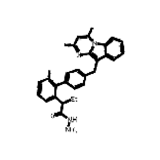 CCC(C(=O)NN)c1cccc(C)c1-c1ccc(Cc2c3ccccc3n3c(C)cc(C)nc23)cc1